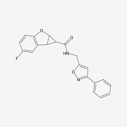 O=C(NCc1cc(-c2ccccc2)no1)C1C2Oc3ccc(F)cc3C21